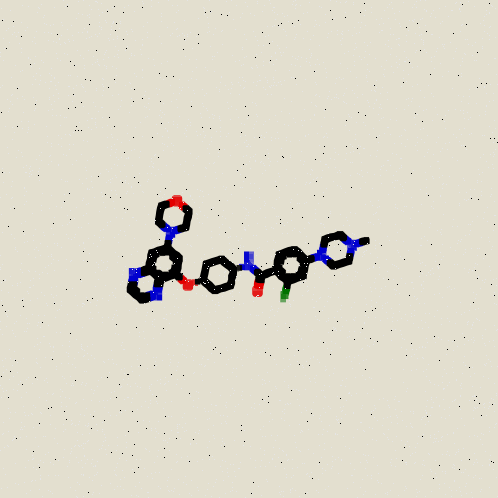 CN1CCN(c2ccc(C(=O)N[C@H]3CC[C@@H](Oc4cc(N5CCOCC5)cc5nccnc45)CC3)c(F)c2)CC1